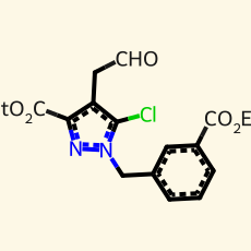 CCOC(=O)c1cccc(Cn2nc(C(=O)OCC)c(CC=O)c2Cl)c1